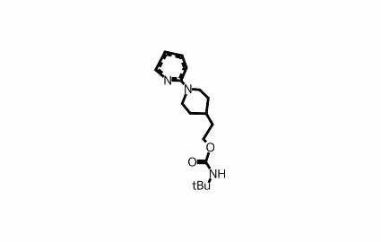 CC(C)(C)NC(=O)OCCC1CCN(c2ccccn2)CC1